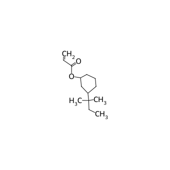 C=CC(=O)OC1CCCC(C(C)(C)CC)C1